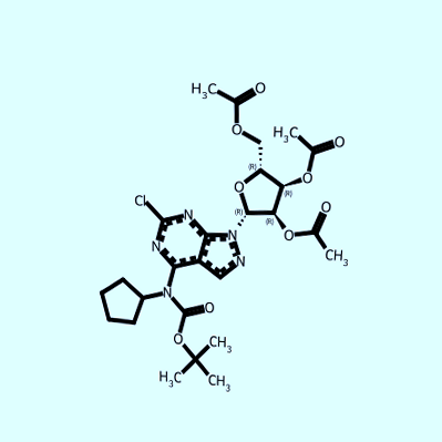 CC(=O)OC[C@H]1O[C@@H](n2ncc3c(N(C(=O)OC(C)(C)C)C4CCCC4)nc(Cl)nc32)[C@H](OC(C)=O)[C@@H]1OC(C)=O